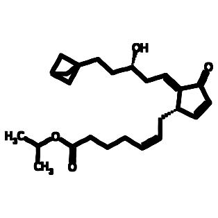 CC(C)OC(=O)CCC/C=C\C[C@H]1C=CC(=O)/C1=C/C[C@@H](O)CCC12CC(C1)C2